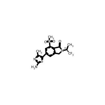 Cc1nc(N)sc1-c1cc2c(c(S(C)(=O)=O)c1)C(=O)N([C@@H](C)C(F)(F)F)C2